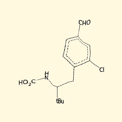 CC(C)(C)C(Cc1ccc(C=O)cc1Cl)NC(=O)O